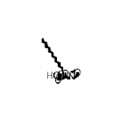 CCCCCCCCCCCCCCOC(CN1CCOCC1)CS(=O)(=O)O